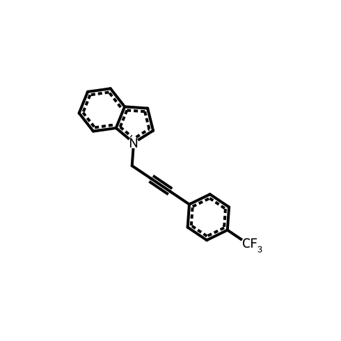 FC(F)(F)c1ccc(C#CCn2ccc3ccccc32)cc1